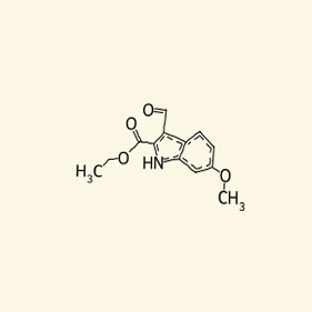 CCOC(=O)c1[nH]c2cc(OC)ccc2c1C=O